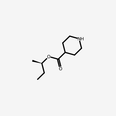 CC[C@@H](C)OC(=O)C1CCNCC1